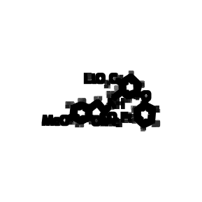 CCOC(=O)c1ccc(Oc2ccccc2)cc1CNC(Cc1ccc(OC)cc1OC)C(=O)OCC